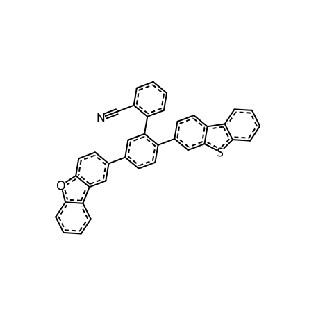 N#Cc1ccccc1-c1cc(-c2ccc3oc4ccccc4c3c2)ccc1-c1ccc2c(c1)sc1ccccc12